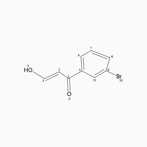 O=C(/C=C/O)c1cccc(Br)c1